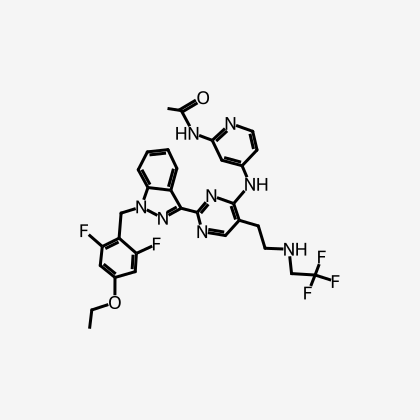 CCOc1cc(F)c(Cn2nc(-c3ncc(CCNCC(F)(F)F)c(Nc4ccnc(NC(C)=O)c4)n3)c3ccccc32)c(F)c1